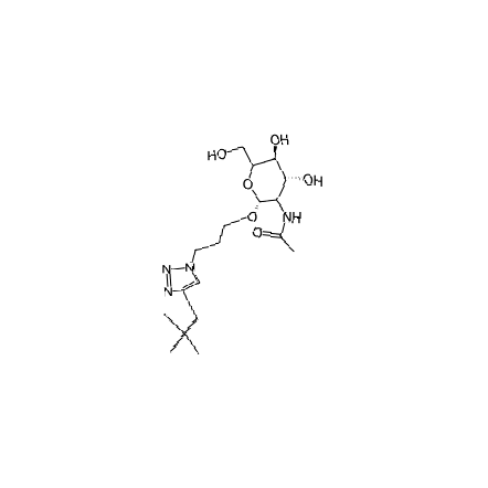 CC(=O)NC1[C@H](OCCCn2cc(CC(C)(C)C)nn2)OC(CO)[C@@H](O)[C@@H]1O